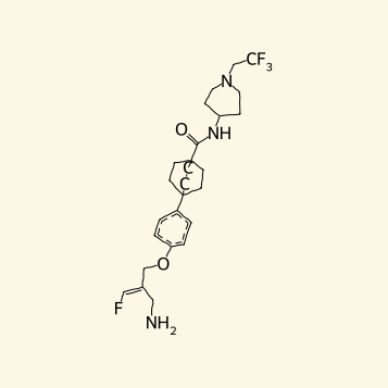 NC/C(=C\F)COc1ccc(C23CCC(C(=O)NC4CCN(CC(F)(F)F)CC4)(CC2)CC3)cc1